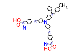 Cc1ccc(/C=C(\c2ccccc2)c2ccc(N(c3ccc(/C=C/c4ccc(/C=C(\C#N)C(=O)O)cc4)cc3)c3ccc(/C=C/c4ccc(/C=C(\C#N)C(=O)O)cc4)cc3)cc2)cc1